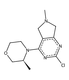 C[C@H]1COCCN1c1nc(Cl)nc2c1CN(C)C2